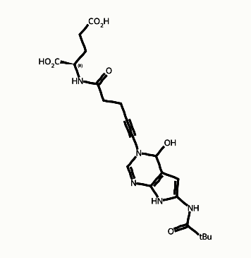 CC(C)(C)C(=O)Nc1cc2c([nH]1)N=CN(C#CCCC(=O)N[C@H](CCC(=O)O)C(=O)O)C2O